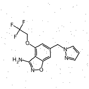 Nc1noc2cc(Cn3cccn3)cc(OCC(F)(F)F)c12